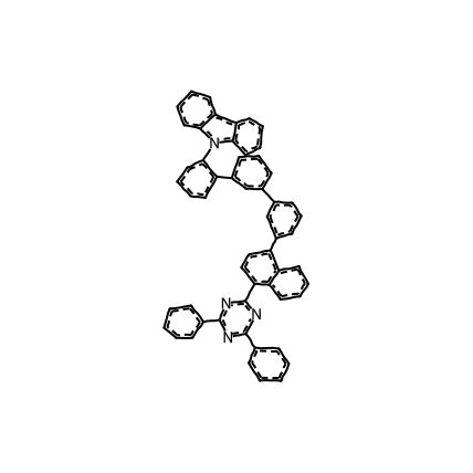 c1ccc(-c2nc(-c3ccccc3)nc(-c3ccc(-c4cccc(-c5cccc(-c6ccccc6-n6c7ccccc7c7ccccc76)c5)c4)c4ccccc34)n2)cc1